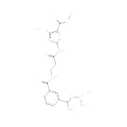 Cc1nc(NC(=O)CCNC(=O)c2cccc(/C(N)=N/N(C)N)c2)sc1C(=O)OC(C)C